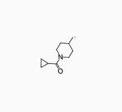 [CH2]C1CCN(C(=O)C2CC2)CC1